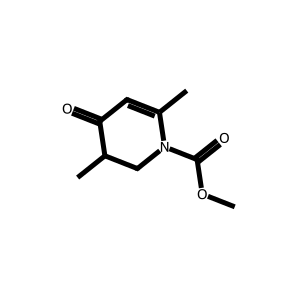 COC(=O)N1CC(C)C(=O)C=C1C